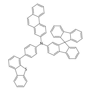 c1ccc2c(c1)-c1ccccc1C21c2ccccc2-c2ccc(N(c3ccc(-c4cccc5c4sc4ccccc45)cc3)c3ccc4c(ccc5ccccc54)c3)cc21